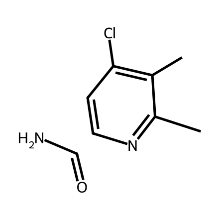 Cc1nccc(Cl)c1C.NC=O